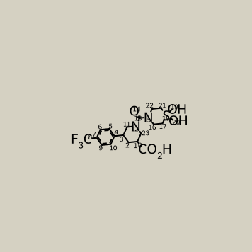 O=C(O)C1CC(c2ccc(C(F)(F)F)cc2)CN(C(=O)N2CCS(O)(O)CC2)C1